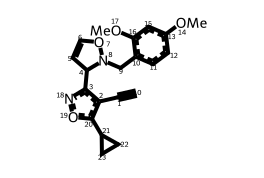 C#Cc1c(C2C=CON2Cc2ccc(OC)cc2OC)noc1C1CC1